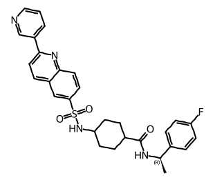 C[C@@H](NC(=O)C1CCC(NS(=O)(=O)c2ccc3nc(-c4cccnc4)ccc3c2)CC1)c1ccc(F)cc1